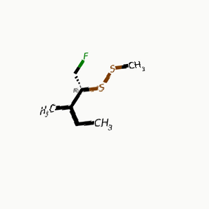 CCC(C)[C@H](CF)SSC